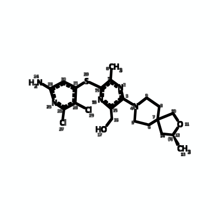 Cc1nc(N2CCC3(CC2)CO[C@@H](C)C3)c(CO)nc1Sc1cc(N)nc(Cl)c1Cl